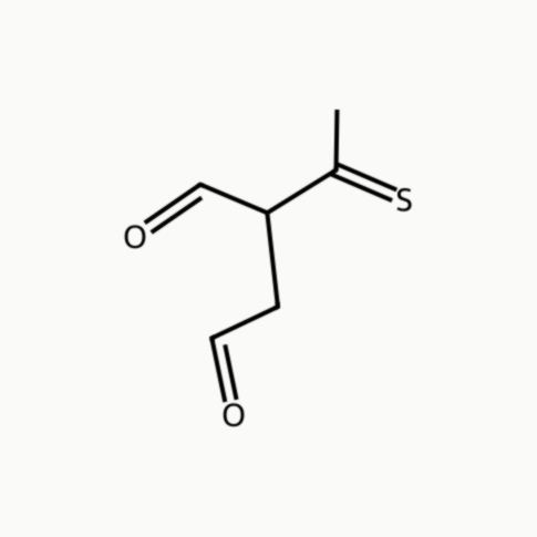 CC(=S)C(C=O)CC=O